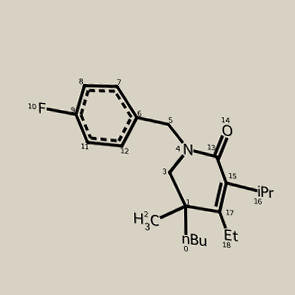 CCCCC1(C)CN(Cc2ccc(F)cc2)C(=O)C(C(C)C)=C1CC